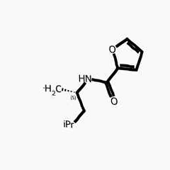 [CH2][C@@H](CC(C)C)NC(=O)c1ccco1